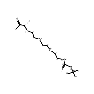 CC(=O)[C@H](C)OCCOCCOCCNC(=O)OC(C)(C)C